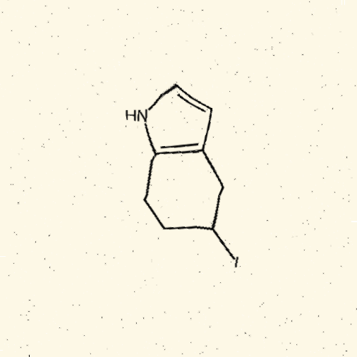 IC1CCc2[nH]ccc2C1